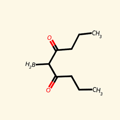 BC(C(=O)CCC)C(=O)CCC